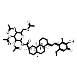 CCC1=CC(=O)C(O)=C(C)/C1=C/C=C1\CCC[C@@]2(C)[C@@H]3C[C@](C)(C(=O)OC4OC(COC(C)=O)C(OC(C)=O)C(OC(C)=O)C4OC(C)=O)CC[C@]3(C)CC[C@]12C